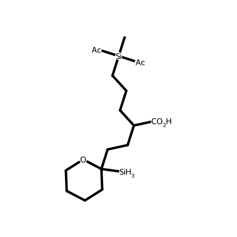 CC(=O)[Si](C)(CCCC(CCC1([SiH3])CCCCO1)C(=O)O)C(C)=O